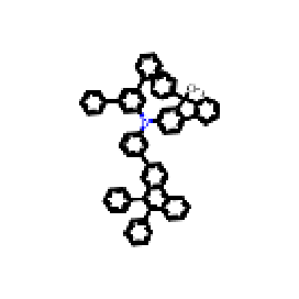 CC1(c2ccccc2)c2ccccc2-c2ccc(N(c3cccc(-c4ccc5c(c4)c(-c4ccccc4)c(-c4ccccc4)c4ccccc45)c3)c3cc(-c4ccccc4)cc(-c4ccccc4)c3)cc21